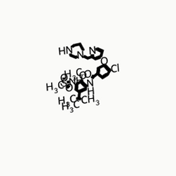 COc1c(NC(=O)c2ccc(Cl)c(Oc3ccnc(CN4CCCNCC4)c3)c2)cc(C(C)(C)C)cc1NS(C)(=O)=O